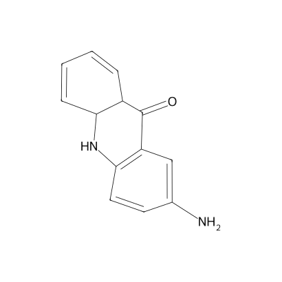 Nc1ccc2c(c1)C(=O)C1C=CC=CC1N2